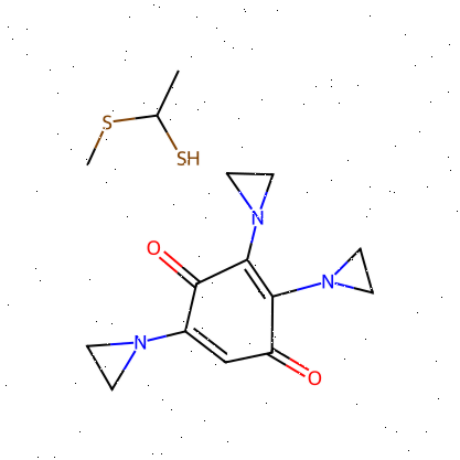 CSC(C)S.O=C1C=C(N2CC2)C(=O)C(N2CC2)=C1N1CC1